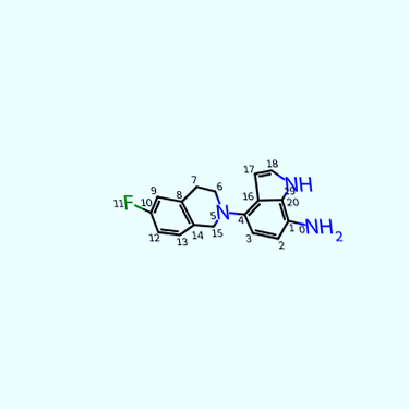 Nc1ccc(N2CCc3cc(F)ccc3C2)c2cc[nH]c12